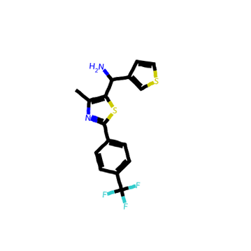 Cc1nc(-c2ccc(C(F)(F)F)cc2)sc1C(N)c1ccsc1